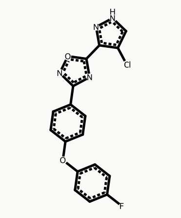 Fc1ccc(Oc2ccc(-c3noc(-c4n[nH]cc4Cl)n3)cc2)cc1